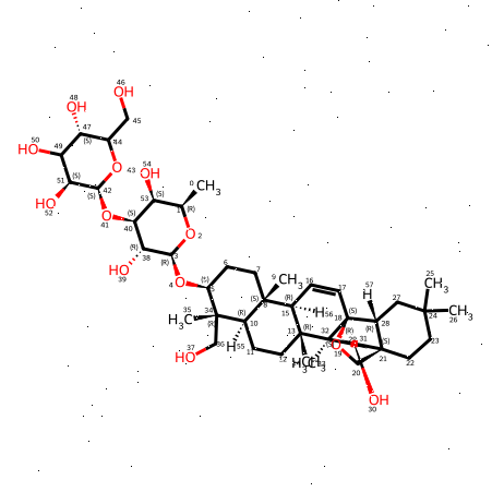 C[C@H]1O[C@@H](O[C@H]2CC[C@@]3(C)[C@@H](CC[C@]4(C)[C@@H]3C=C[C@]35OC[C@@]6(CCC(C)(C)C[C@H]63)[C@H](O)C[C@]54C)[C@]2(C)CO)[C@H](O)[C@@H](O[C@@H]2OC(CO)[C@@H](O)C(O)[C@@H]2O)[C@H]1O